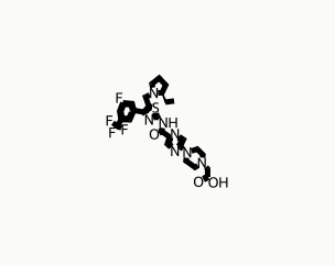 CC[C@@H]1CCCN1Cc1sc(NC(=O)c2cnc(N3CCN(CC(=O)O)CC3)cn2)nc1-c1cc(F)cc(C(F)(F)F)c1